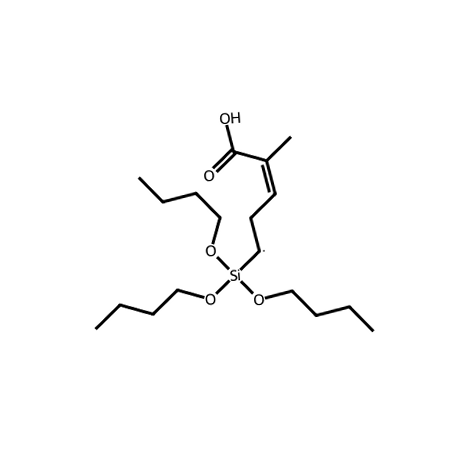 CCCCO[Si]([CH]CC=C(C)C(=O)O)(OCCCC)OCCCC